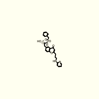 O=C(O)[C@H](Cc1ccc2oc(CCCNc3ccccn3)cc(=O)c2c1)NS(=O)(=O)Cc1ccccc1